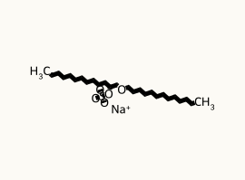 CCCCCCCCCCCCCOCC(CCCCCCCCCCC)OS(=O)(=O)[O-].[Na+]